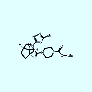 CC(C)(C)OC(=O)N1CCN(C(=O)N[C@@H]2[C@@H]3CC[C@H]2CN(c2nnc(Br)s2)C3)CC1